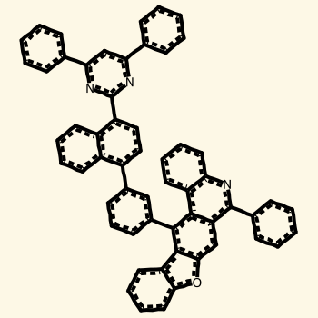 c1ccc(-c2cc(-c3ccccc3)nc(-c3ccc(-c4cccc(-c5c6c(cc7c(-c8ccccc8)nc8ccccc8c57)oc5ccccc56)c4)c4ccccc34)n2)cc1